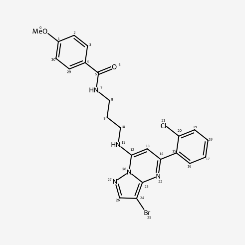 COc1ccc(C(=O)NCCCNc2cc(-c3ccccc3Cl)nc3c(Br)cnn23)cc1